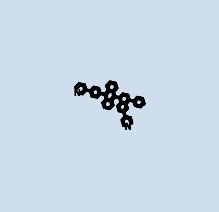 c1ccc(-c2ccc(-c3c4ccccc4c(-c4ccc(-c5cccnc5)cc4)c4ccccc34)c3ccc(-c4ccncc4)cc23)cc1